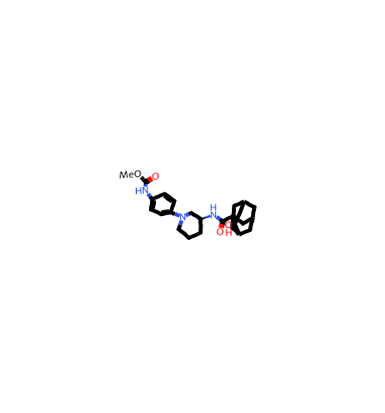 COC(=O)Nc1ccc(N2CCC[C@H](NC(=O)C34CC5CC(C3)C(O)C(C5)C4)C2)cc1